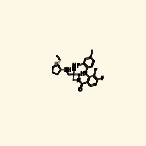 CC[C@H]1CCCC1NCC1(O)CN(C(=O)c2ccc(F)c(F)c2Nc2ccc(I)cc2F)C1